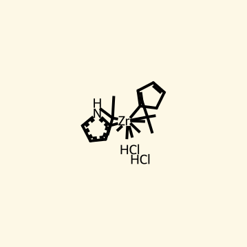 C[C](C)(C)[Zr]([CH3])([CH3])([CH3])([CH3])([CH3])([C]1=CC=CC1)([c]1ccc[nH]1)[C](C)(C)C.Cl.Cl